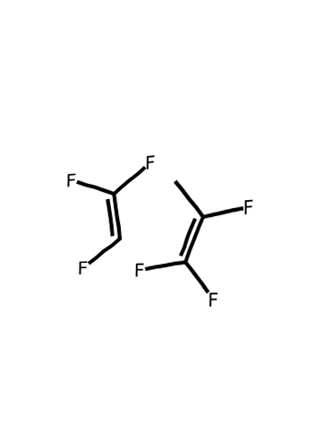 CC(F)=C(F)F.FC=C(F)F